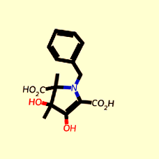 CC1(O)C(O)=C(C(=O)O)N(Cc2ccccc2)C1(C)C(=O)O